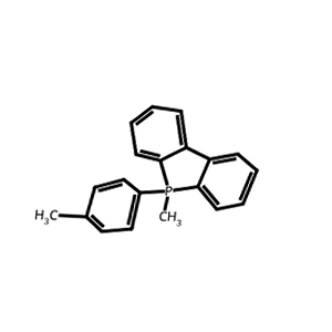 Cc1ccc([P]2(C)c3ccccc3-c3ccccc32)cc1